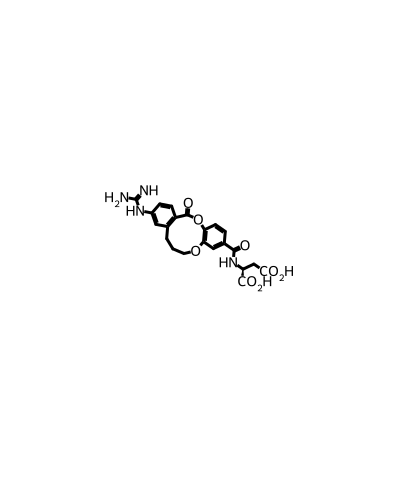 N=C(N)Nc1ccc2c(c1)CCCOc1cc(C(=O)N[C@@H](CC(=O)O)C(=O)O)ccc1OC2=O